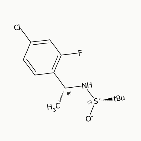 C[C@@H](N[S@+]([O-])C(C)(C)C)c1ccc(Cl)cc1F